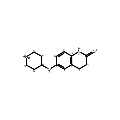 O=C1CCc2cc(OC3CCNCC3)ccc2N1